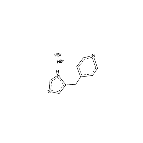 Br.Br.c1cc(Cc2cnc[nH]2)ccn1